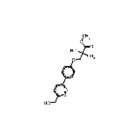 COC(=O)C(C)(C)COc1ccc(-c2ccc(CO)nn2)cc1